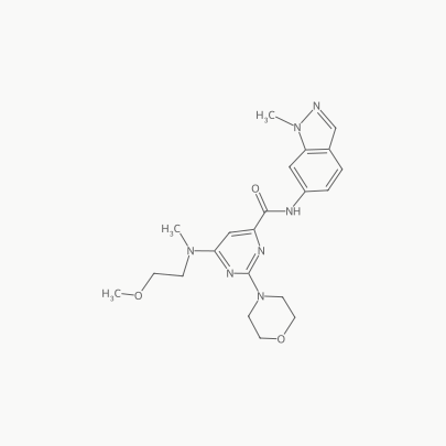 COCCN(C)c1cc(C(=O)Nc2ccc3cnn(C)c3c2)nc(N2CCOCC2)n1